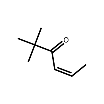 C/C=C\C(=O)C(C)(C)C